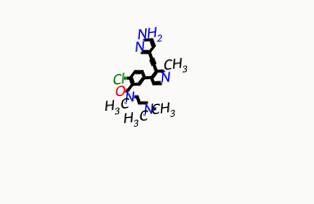 Cc1nccc(-c2ccc(Cl)c(C(=O)N(C)CCCN(C)C)c2)c1C#Cc1ccc(N)nc1